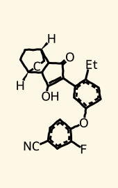 CCc1ccc(Oc2ccc(C#N)cc2F)cc1C1=C(O)C2C(C1=O)[C@H]1CC[C@@H]2CC1